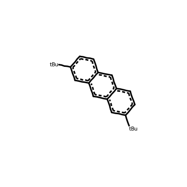 CC(C)(C)c1ccc2cc3ccc(C(C)(C)C)cc3cc2c1